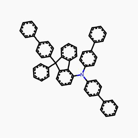 c1ccc(-c2ccc(N(c3ccc(-c4ccccc4)cc3)c3cccc4c3-c3ccccc3C4(c3ccccc3)c3ccc(-c4ccccc4)cc3)cc2)cc1